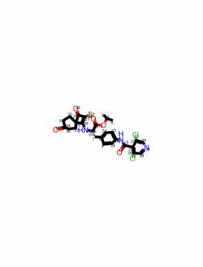 CC(C)OC(=O)[C@H](Cc1ccc(NC(=O)c2c(Cl)cncc2Cl)cc1)NC1=C(Br)C(=O)C12CCC(=O)CC2